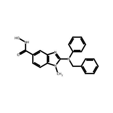 Cn1c(N(Cc2ccccc2)c2ccccc2)nc2cc(C(=O)NO)ccc21